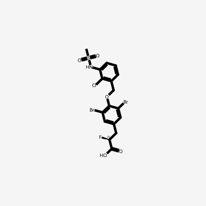 CS(=O)(=O)Nc1cccc(COc2c(Br)cc(C[C@H](F)C(=O)O)cc2Br)c1Cl